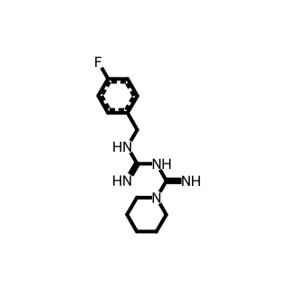 N=C(NCc1ccc(F)cc1)NC(=N)N1CCCCC1